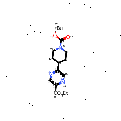 CCOC(=O)c1cnc(C2CCN(C(=O)OC(C)(C)C)CC2)cn1